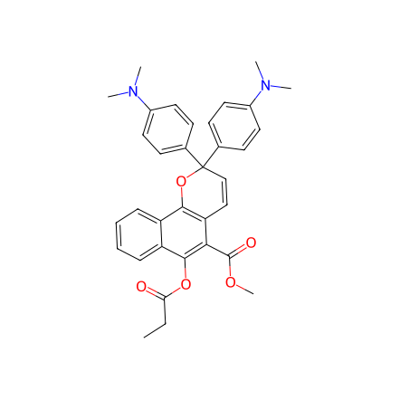 CCC(=O)Oc1c(C(=O)OC)c2c(c3ccccc13)OC(c1ccc(N(C)C)cc1)(c1ccc(N(C)C)cc1)C=C2